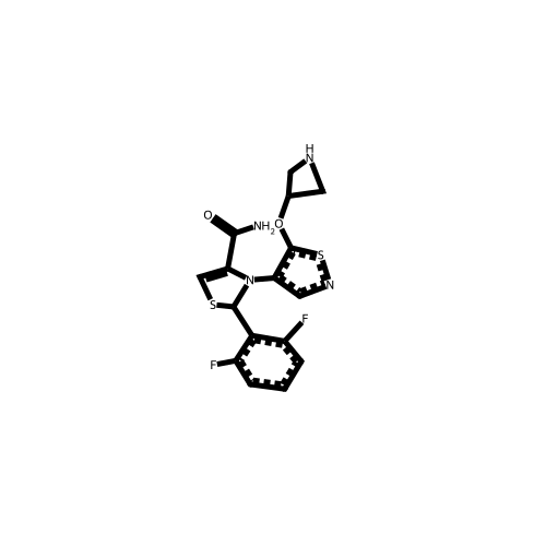 NC(=O)C1=CSC(c2c(F)cccc2F)N1c1cnsc1OC1CNC1